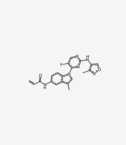 C=CC(=O)Nc1ccc2c(c1)c(C)cn2-c1nc(Nc2conc2C)ncc1F